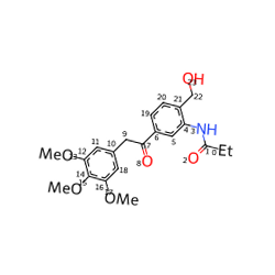 CCC(=O)Nc1cc(C(=O)Cc2cc(OC)c(OC)c(OC)c2)ccc1CO